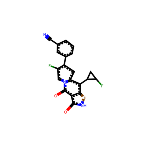 N#Cc1cccc(-c2cc3c(C4CC4F)c4s[nH]c(=O)c4c(=O)n3cc2F)c1